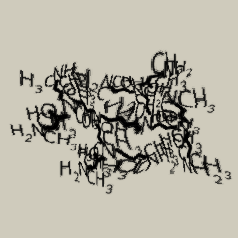 CC(C)(N)CC(O)CN(CC(O)CC(C)(C)N)C(C)(C)CC(O)CN(CCCCCCN(CC(O)CC(C)(C)N(CC(O)CC(C)(C)N)CC(O)CC(C)(C)N)CC(O)CC(C)(C)N(CC(O)CC(C)(C)N)CC(O)CC(C)(C)N)CC(O)CC(C)(C)N(CC(O)CC(C)(C)N)CC(O)CC(C)(C)N